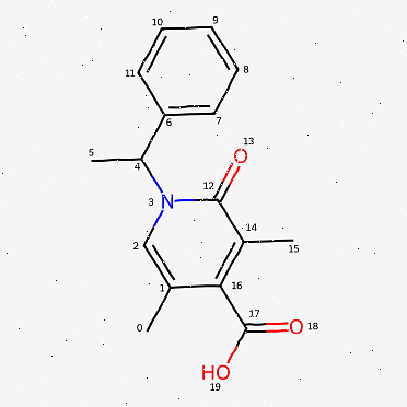 Cc1cn(C(C)c2ccccc2)c(=O)c(C)c1C(=O)O